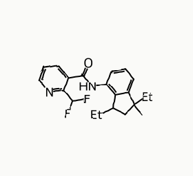 CCC1CC(C)(CC)c2cccc(NC(=O)c3cccnc3C(F)F)c21